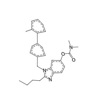 CCCCc1nc2ccc(OC(=O)N(C)C)cc2n1Cc1ccc(-c2ccccc2C)cc1